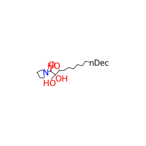 CCCCCCCCCCCCCCCCC(O)C(O)(CO)C(=O)N1CCCC1